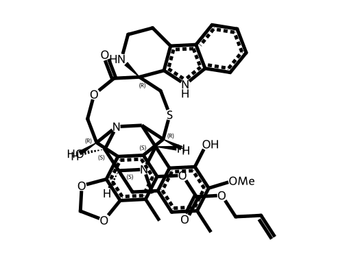 C=CCOC(=O)Oc1c(C)c2c(c3c1[C@H]1SC[C@]4(NCCc5c4[nH]c4ccccc54)C(=O)OC[C@@H]3N3C1[C@@H]1c4c(cc(C)c(OC)c4O)C[C@@H]([C@@H]3O)N1C)OCO2